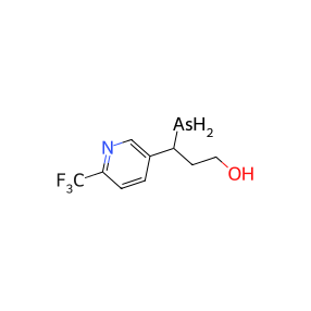 OCCC([AsH2])c1ccc(C(F)(F)F)nc1